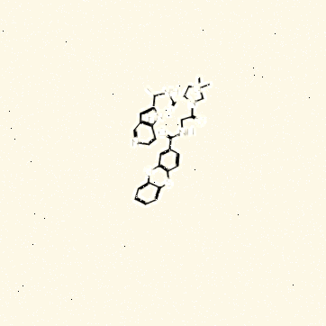 C[C@@H](NC(=O)[C@@H]1C[Si](C)(C)CN1C(=O)CNC(=O)c1ccc2c(c1)Oc1ccccc1S2)c1cc2cnccc2[nH]1